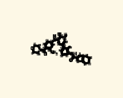 Cc1c(NC(=O)c2cc3c(s2)CCCC3)cccc1-c1cn(C)c(=O)c(Nc2ccc(C(=O)N3CCOCC3)c(N)c2)n1